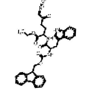 CCOC(=O)C(CCC(=O)C=[N+]=[N-])NC(=O)C(Cc1c[nH]c2ccccc12)NC(=O)OCC1c2ccccc2-c2ccccc21